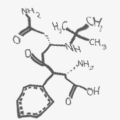 CC(C)(C)N[C@@H](CC(N)=O)C(=O)C(c1ccccc1)[C@H](N)C(=O)O